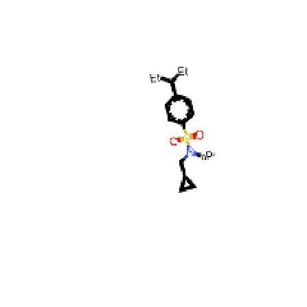 CCCN(CC1CC1)S(=O)(=O)c1ccc(C(CC)CC)cc1